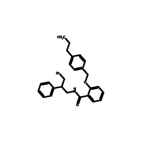 CC(C)CC(CNC(=O)c1ccccc1OCc1ccc(CCC(=O)O)cc1)c1ccccc1